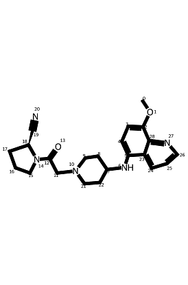 COc1ccc(NC2CCN(CC(=O)N3CCC[C@H]3C#N)CC2)c2cccnc12